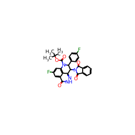 CC(C)(C)OC(=O)N1c2cc(F)cc3c(=O)[nH]nc(c23)C(N2C(=O)c3ccccc3C2=O)C1c1ccc(F)cc1